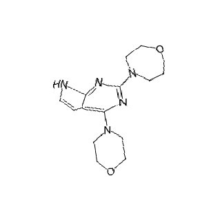 c1cc2c(N3CCOCC3)nc(N3CCOCC3)nc2[nH]1